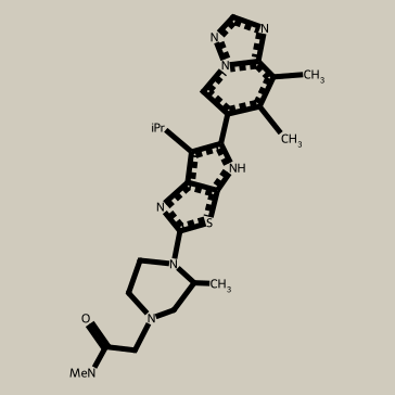 CNC(=O)CN1CCN(c2nc3c(C(C)C)c(-c4cn5ncnc5c(C)c4C)[nH]c3s2)C(C)C1